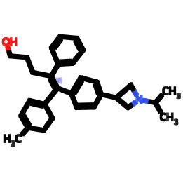 CC1=CC=C(/C(=C(\CCCO)c2ccccc2)c2ccc(C3CN(C(C)C)C3)cc2)CC1